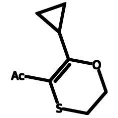 CC(=O)C1=C(C2CC2)OCCS1